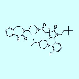 CC(C)N1CCN(c2c(F)cccc2[C@@H]2S[C@](C)(CC(=O)N3CCC(N4CCc5ccccc5NC4=O)CC3)C(=O)N2CCC(C)(C)C)CC1